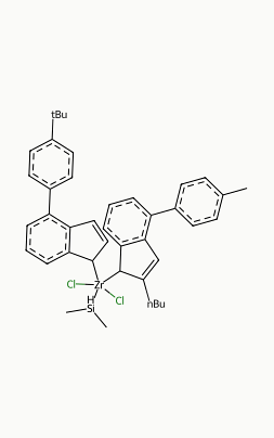 CCCCC1=Cc2c(-c3ccc(C)cc3)cccc2[CH]1[Zr]([Cl])([Cl])([CH]1C=Cc2c(-c3ccc(C(C)(C)C)cc3)cccc21)[SiH](C)C